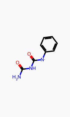 NC(=O)NC(=O)[N]c1ccccc1